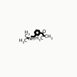 CC(C)NCCc1cccc(C(=O)C(C)C)c1